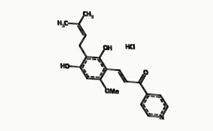 COc1cc(O)c(CC=C(C)C)c(O)c1C=CC(=O)c1ccncc1.Cl